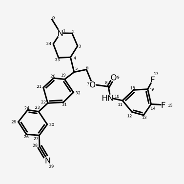 CN1CCC(C(COC(=O)Nc2ccc(F)c(F)c2)c2ccc(-c3cccc(C#N)c3)cc2)CC1